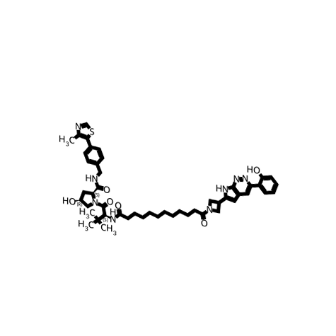 Cc1ncsc1-c1ccc(CNC(=O)[C@@H]2C[C@@H](O)CN2C(=O)[C@@H](NC(=O)CCCCCCCCCCC(=O)N2CC(c3cc4cc(-c5ccccc5O)nnc4[nH]3)C2)C(C)(C)C)cc1